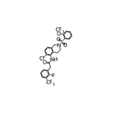 O=C(Cc1cccc(C(F)(F)F)c1F)Nc1c(Cl)ccc2c1CCN(S(=O)(=O)c1ccccc1OC(F)(F)F)C2